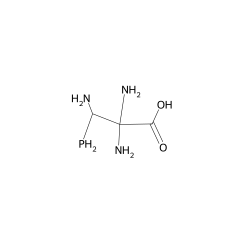 NC(P)C(N)(N)C(=O)O